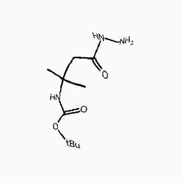 CC(C)(CC(=O)NN)NC(=O)OC(C)(C)C